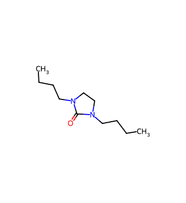 CCCCN1CCN(CCCC)C1=O